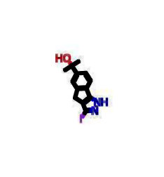 CC(C)(O)c1ccc2c(c1)Cc1c(I)n[nH]c1-2